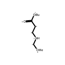 COCNCCC(=O)OCC(C)C